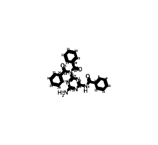 Nc1nc(NC(=O)c2ccccc2)nc(N(C(=O)c2ccccc2)C(=O)c2ccccc2)n1